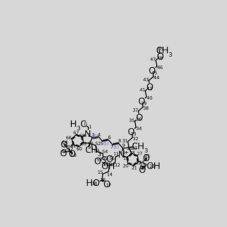 CCN1/C(=C/C=C/C=C/C2=[N+](CCCCCC(=O)O)c3ccc(S(=O)(=O)O)cc3C2(C)CCOCCOCCOCCOCCOCCOC)C(C)(CCCS(=O)(=O)O)c2cc(S(=O)(=O)[O-])ccc21